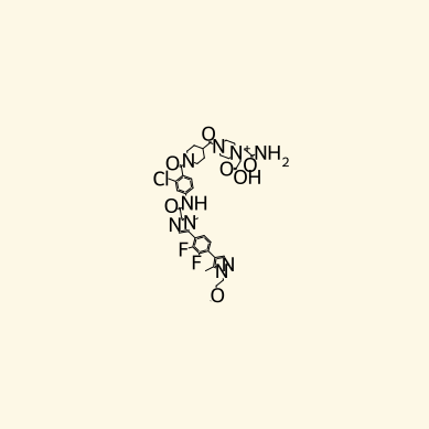 COCCn1ncc(-c2ccc(-c3cnc(C(=O)Nc4ccc(C(=O)N5CCC(C(=O)N6CC[N+](CC(N)=O)(CC(=O)O)CC6)CC5)c(Cl)c4)n3C)c(F)c2F)c1C